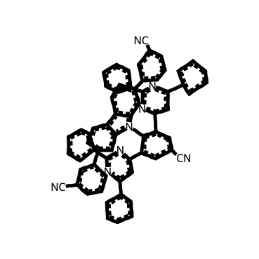 N#Cc1cccc(-c2ccc3c4ccc(-c5cccc(C#N)c5)cc4n(-c4c(-c5cc(-c6ccccc6)nc(-c6ccccc6)n5)cc(C#N)cc4-c4cc(-c5ccccc5)nc(-c5ccccc5)n4)c3c2)c1